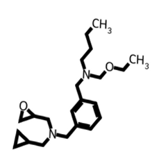 CCCCN(COCC)Cc1cccc(CN(CC2CC2)CC2CO2)c1